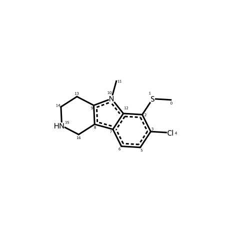 CSc1c(Cl)ccc2c3c(n(C)c12)CCNC3